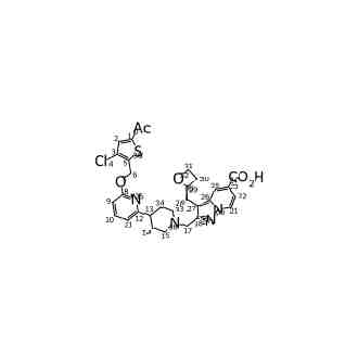 CC(=O)c1cc(Cl)c(COc2cccc(C3CCN(Cc4nn5ccc(C(=O)O)cc5c4C[C@@H]4CCO4)CC3)n2)s1